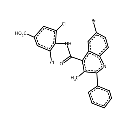 Cc1c(-c2ccccc2)nc2ccc(Br)cc2c1C(=O)Nc1c(Cl)cc(C(=O)O)cc1Cl